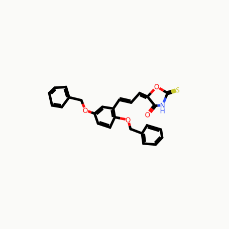 O=C1NC(=S)OC1=CC=Cc1cc(OCc2ccccc2)ccc1OCc1ccccc1